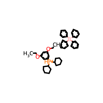 CCOc1cc(OCC)cc([PH+](C2CCCCC2)C2CCCCC2)c1.c1ccc([B-](c2ccccc2)(c2ccccc2)c2ccccc2)cc1